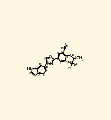 CC(Oc1ccc(-c2nc(-c3ccc4nc[nH]c4c3)no2)cc1C#N)C(F)(F)F